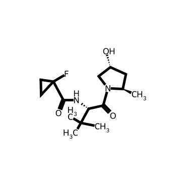 C[C@@H]1C[C@@H](O)CN1C(=O)[C@@H](NC(=O)C1(F)CC1)C(C)(C)C